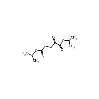 CC(C)OC(=O)CCC(=O)C(=O)OC(C)C